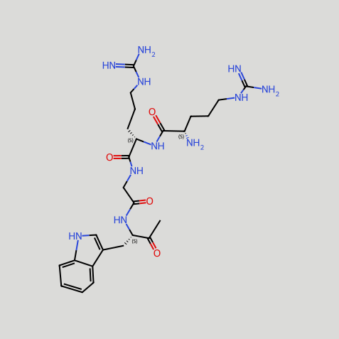 CC(=O)[C@H](Cc1c[nH]c2ccccc12)NC(=O)CNC(=O)[C@H](CCCNC(=N)N)NC(=O)[C@@H](N)CCCNC(=N)N